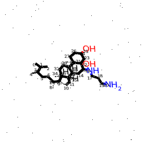 CC(C)[C@H](C)CC[C@@H](C)[C@H]1CC[C@H]2[C@@H]3CC(NCCCN)C4(O)CC(O)CC[C@]4(C)[C@H]3CC[C@]12C